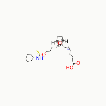 O=C(O)CCC/C=C\C[C@@H]1[C@H](CCCCOC(=S)NC2CCCCC2)[C@@H]2CC[C@H]1O2